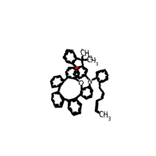 C/C=C\C=C/Cc1ccccc1N(c1ccc2c(c1)C(C)(C)c1ccccc1-2)c1cccc2c1Oc1ccccc1-c1ccccc1-c1ccccc1-c1ccccc1-2